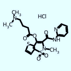 CN(C)CCCC(=O)OC1=C(C(=O)Nc2ccccn2)N(C)S(=O)(=O)c2ccsc21.Cl